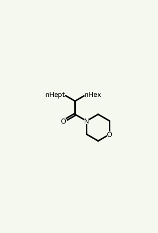 CCCCCCCC(CCCCCC)C(=O)N1CCOCC1